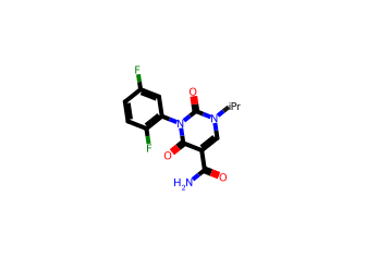 CC(C)n1cc(C(N)=O)c(=O)n(-c2cc(F)ccc2F)c1=O